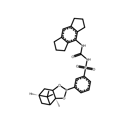 CC1(C)C2C[C@H]1CC1OB(c3cccc(S(=O)(=O)NC(=O)Nc4c5c(cc6c4CCC6)CCC5)c3)O[C@]12C